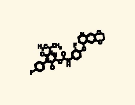 CC(C)n1nc(OC(=O)Nc2ccc(Oc3ccnc4cc5c(cc34)OCCO5)c(F)c2)c(=O)n(-c2ccc(F)cc2)c1=O